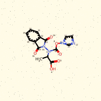 CC(C(=O)O)N(C(=O)On1ccnc1)N1C(=O)c2ccccc2C1=O